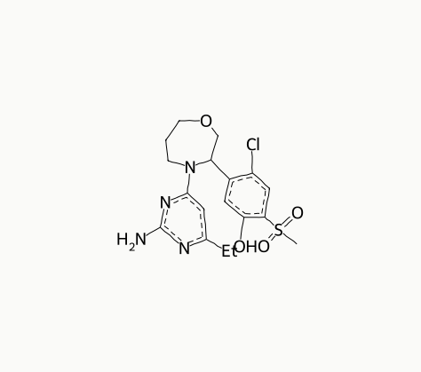 CCc1cc(N2CCCOCC2c2cc(O)c(S(C)(=O)=O)cc2Cl)nc(N)n1